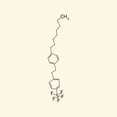 CCCCCCCCc1ccc(CCc2ccc(S(F)(F)(F)(F)F)cc2)cc1